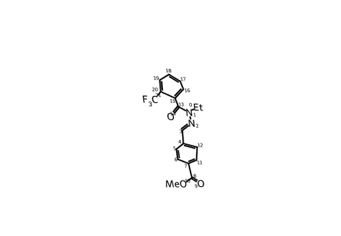 CCN(N=Cc1ccc(C(=O)OC)cc1)C(=O)c1ccccc1C(F)(F)F